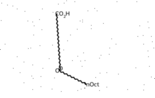 CCCCCCCCC=CCCCCCCCCCCCCCC(=O)OCCCCCCCCCCCCCCCCCCCCCCCCCCCC(=O)O